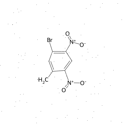 [CH2]c1cc(Br)c([N+](=O)[O-])cc1[N+](=O)[O-]